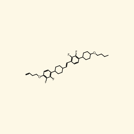 C=CCCOc1ccc(C2CCC(/C=C/c3ccc(C4CCC(OCCCC)CC4)c(F)c3F)CC2)c(F)c1F